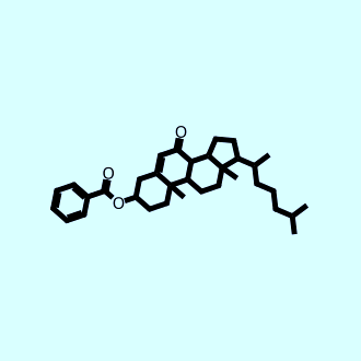 CC(C)CCCC(C)C1CCC2C3C(=O)C=C4CC(OC(=O)c5ccccc5)CCC4(C)C3CCC12C